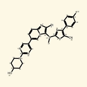 CCc1nc2ccc(-c3cnc(N4CCC(O)CC4)nc3)cn2c1N(C)c1nc(-c2ccc(F)cc2)c(C#N)s1